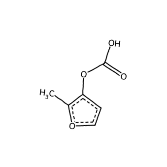 Cc1occc1OC(=O)O